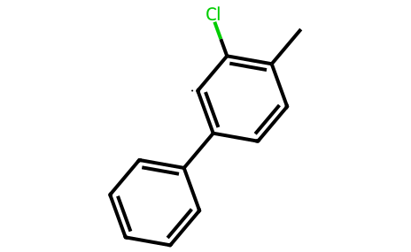 Cc1ccc(-c2ccccc2)[c]c1Cl